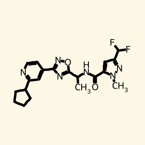 CC(NC(=O)c1cc(C(F)F)nn1C)c1nc(-c2ccnc(C3CCCC3)c2)no1